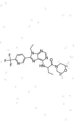 CCC(Nc1ncnc2c1nc(-c1ccc(C(F)(F)F)nc1)n2CC)C(=O)N1C[C@@H](C)O[C@@H](C)C1